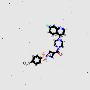 O=C(C1CN(S(=O)(=O)c2ccc([N+](=O)[O-])cc2)C1)N1CCN(c2ccnc3cc(F)ccc23)CC1